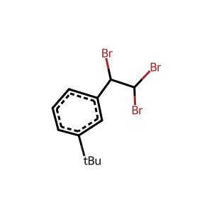 CC(C)(C)c1cccc(C(Br)C(Br)Br)c1